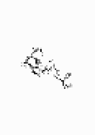 COC(=O)OC[C@@H]1C=C[C@H](n2cnc3c(Cl)nc(N)nc32)C1